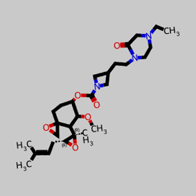 CCN1CCN(CCC2CN(C(=O)OC3CCC4(CO4)C([C@@]4(C)O[C@@H]4CC=C(C)C)C3OC)C2)C(=O)C1